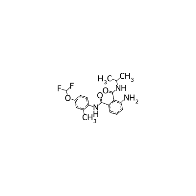 Cc1cc(OC(F)F)ccc1NC(=O)c1cccc(N)c1C(=O)NC(C)C